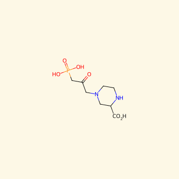 O=C(CN1CCNC(C(=O)O)C1)CP(=O)(O)O